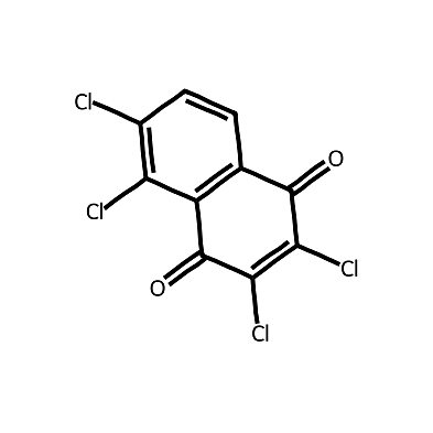 O=C1C(Cl)=C(Cl)C(=O)c2c1ccc(Cl)c2Cl